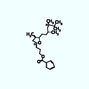 C=C1C[C@H](CCCOC(=O)c2ccccc2)OC1CCC(C)C[C@@H](C)C(=C)C